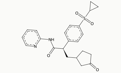 O=C1CCC(C[C@@H](C(=O)Nc2ccccn2)c2ccc(S(=O)(=O)C3CC3)cc2)C1